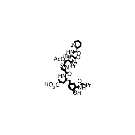 CC[C@H](C)[C@H](NC(=O)[C@H]1CCCCN1C)C(=O)N(C)C(C[C@@H](OC(C)=O)c1nc(C(=O)N[C@@H](Cc2ccc(O)c(NC(=O)C(C)C)c2)CC(C)C(=O)O)cs1)C(C)C